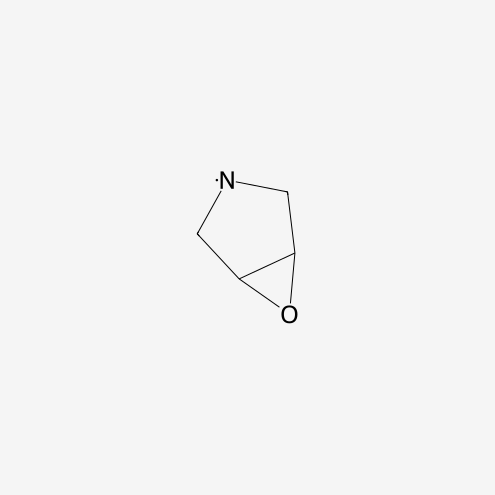 C1[N]CC2OC12